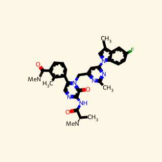 CNC(=O)c1cccc(-c2cnc(NC(=O)[C@H](C)NC)c(=O)n2Cc2cc(-n3cc(C)c4cc(F)ccc43)nc(C)n2)c1C